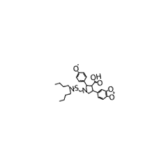 CCCCN(CCCC)SCN1CC(c2ccc3c(c2)OCO3)C(C(=O)O)C1c1ccc(OC)cc1